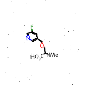 CNC(COCc1cncc(F)c1)C(=O)O